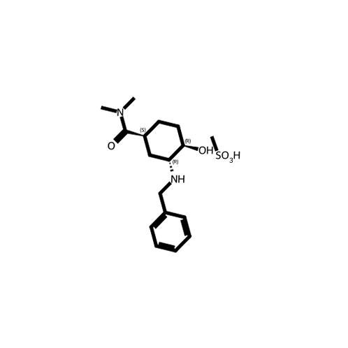 CN(C)C(=O)[C@H]1CC[C@@H](O)[C@H](NCc2ccccc2)C1.CS(=O)(=O)O